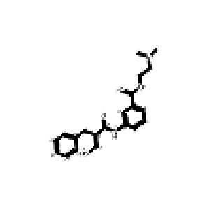 CN(C)CCOC(=O)c1cccc(NC(=O)C(CS)Cc2ccccc2)c1